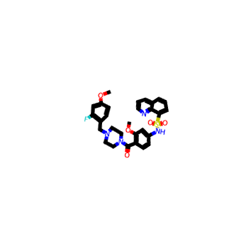 COc1ccc(CN2CCN(C(=O)c3ccc(NS(=O)(=O)c4cccc5cccnc45)cc3OC)CC2)c(F)c1